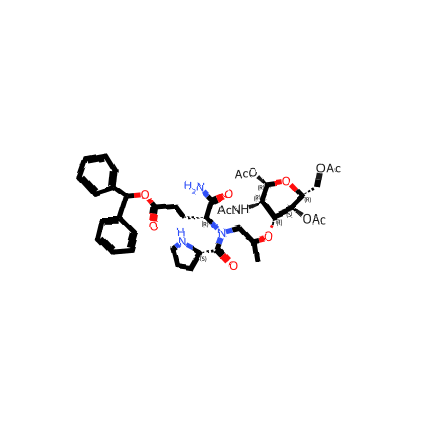 CC(=O)N[C@H]1[C@@H](OC(C)=O)O[C@H](COC(C)=O)[C@@H](OC(C)=O)[C@@H]1OC(C)CN(C(=O)[C@@H]1CCCN1)[C@H](CCC(=O)OC(c1ccccc1)c1ccccc1)C(N)=O